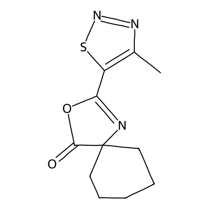 Cc1nnsc1C1=NC2(CCCCC2)C(=O)O1